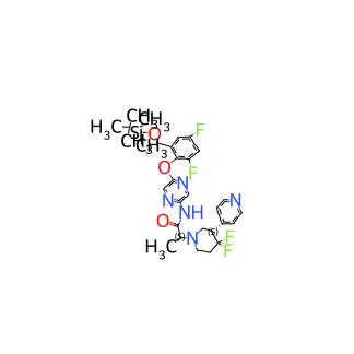 C[C@@H](C(=O)Nc1cnc(Oc2c(F)cc(F)cc2CO[Si](C)(C)C(C)(C)C)cn1)N1CCC(F)(F)[C@@H](c2ccncc2)C1